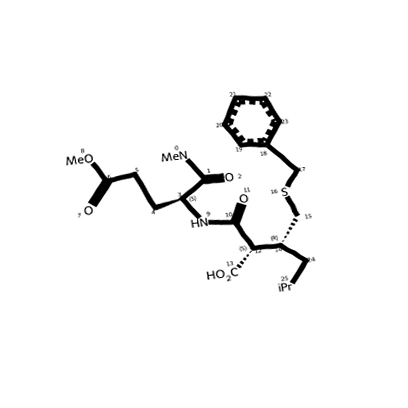 CNC(=O)[C@H](CCC(=O)OC)NC(=O)[C@@H](C(=O)O)[C@H](CSCc1ccccc1)CC(C)C